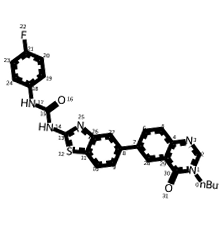 CCCCn1cnc2ccc(-c3ccc4sc(NC(=O)Nc5ccc(F)cc5)nc4c3)cc2c1=O